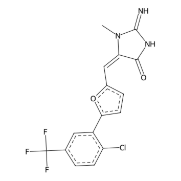 CN1C(=N)NC(=O)/C1=C\c1ccc(-c2cc(C(F)(F)F)ccc2Cl)o1